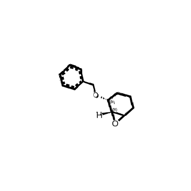 c1ccc(CO[C@@H]2CCCC3O[C@@H]32)cc1